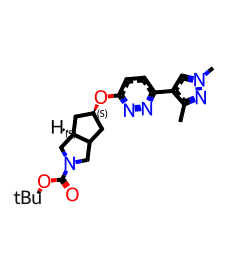 Cc1nn(C)cc1-c1ccc(O[C@H]2CC3CN(C(=O)OC(C)(C)C)C[C@H]3C2)nn1